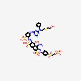 Nc1c(/N=N/c2ccc(S(=O)(=O)CCOS(=O)(=O)O)cc2)c(S(=O)(=O)O)cc2cc(S(=O)(=O)O)c(/N=N/c3cc(Nc4nc(F)nc(N(CCSCCO)c5ccccc5)n4)ccc3S(=O)(=O)O)c(O)c12